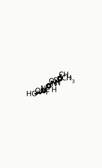 Cc1cc2nc(NC(=O)c3ccc(-c4ncc(C[C@@H](O)CO)cc4F)cc3)sc2cc1C